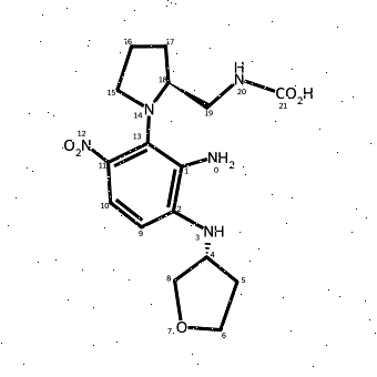 Nc1c(N[C@@H]2CCOC2)ccc([N+](=O)[O-])c1N1CCC[C@H]1CNC(=O)O